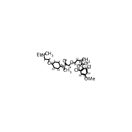 CCN(C)CCOC1CCC(N(C)C(=O)COCCN(C)S(=O)(=O)c2c(Cl)cc(OC)cc2Cl)CC1